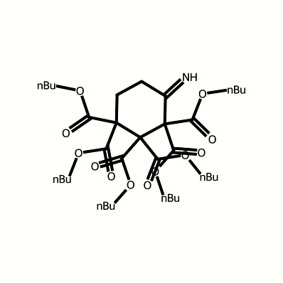 CCCCOC(=O)C1(C(=O)OCCCC)CCC(=N)C(C(=O)OCCCC)(C(=O)OCCCC)C1(C(=O)OCCCC)C(=O)OCCCC